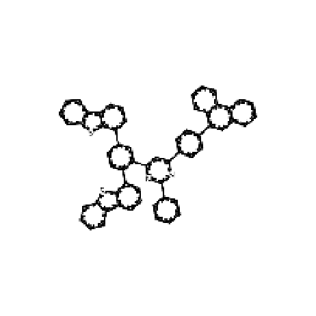 c1ccc(-c2nc(-c3ccc(-c4cc5ccccc5c5ccccc45)cc3)cc(-c3cc(-c4cccc5c4sc4ccccc45)ccc3-c3cccc4c3sc3ccccc34)n2)cc1